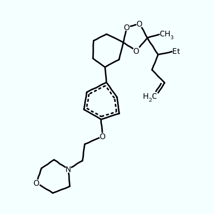 C=CCC(CC)C1(C)OOC2(CCCC(c3ccc(OCCN4CCOCC4)cc3)C2)O1